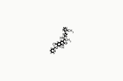 Cc1nnnn1-c1csc(N[C@@H](C)c2cc3cc(Cl)c(OCc4ccccn4)cc3[nH]c2=O)n1